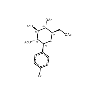 CC(=O)OC[C@H]1O[C@@H](c2ccc(Br)cc2)[C@H](OC(C)=O)[C@@H](OC(C)=O)[C@@H]1OC(C)=O